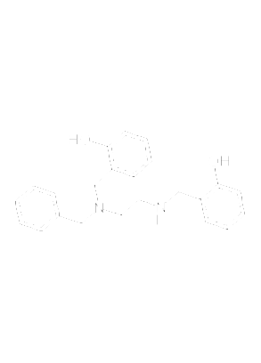 Oc1ccccc1CNCCN(Cc1ccccc1)Cc1ccccc1O